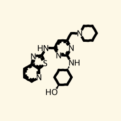 O[C@H]1CC[C@H](Nc2nc(CN3CCCCC3)cc(Nc3nc4cccnc4s3)n2)CC1